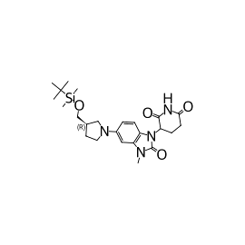 Cn1c(=O)n(C2CCC(=O)NC2=O)c2ccc(N3CC[C@@H](CO[Si](C)(C)C(C)(C)C)C3)cc21